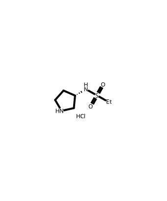 CCS(=O)(=O)N[C@H]1CCNC1.Cl